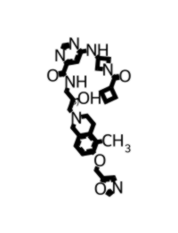 Cc1c(OCc2cnco2)ccc2c1CCN(C[C@@H](O)CNC(=O)c1cc(NC3CN(C(=O)C4CCC4)C3)ncn1)C2